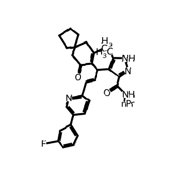 CCCNC(=O)c1n[nH]c(C)c1C(/C=C/c1ccc(-c2cccc(F)c2)cn1)C1=C(C)CC2(CCCC2)CC1=O